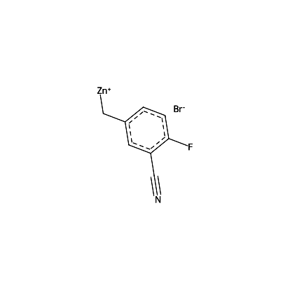 N#Cc1cc([CH2][Zn+])ccc1F.[Br-]